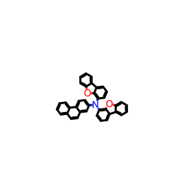 c1ccc2c(c1)ccc1cc(N(c3cccc4c3oc3ccccc34)c3cccc4c3oc3ccccc34)ccc12